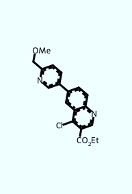 CCOC(=O)c1cnc2ccc(-c3ccc(COC)nc3)cc2c1Cl